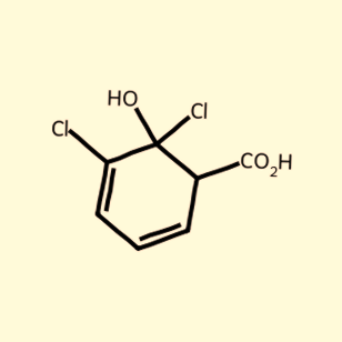 O=C(O)C1C=CC=C(Cl)C1(O)Cl